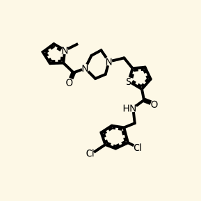 Cn1cccc1C(=O)N1CCN(Cc2ccc(C(=O)NCc3ccc(Cl)cc3Cl)s2)CC1